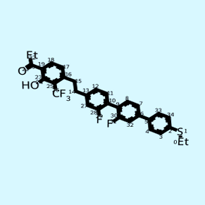 CCSc1ccc(-c2ccc(-c3ccc(CCc4ccc(C(=O)CC)c(O)c4C(F)(F)F)cc3F)c(F)c2)cc1